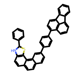 c1ccc(C2Nc3ccc4ccc5ccc(-c6ccc(-c7ccc8c9c(cccc79)-c7ccccc7-8)cc6)cc5c4c3S2)cc1